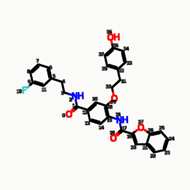 O=C(NCCc1cccc(F)c1)c1ccc(NC(=O)c2cc3ccccc3o2)c(OCCc2ccc(O)cc2)c1